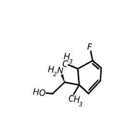 CC1C(F)=CC=CC1(C)[C@H](N)CO